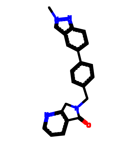 Cn1cc2cc(-c3ccc(CN4Cc5ncccc5C4=O)cc3)ccc2n1